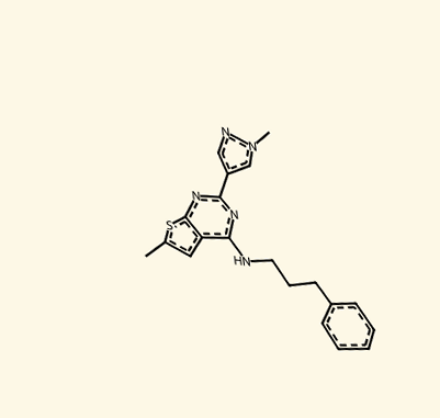 Cc1cc2c(NCCCc3ccccc3)nc(-c3cnn(C)c3)nc2s1